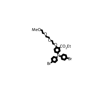 CCOC(=O)c1cc(N(c2ccc(Br)cc2)c2ccc(Br)cc2)ccc1OCCOCCOCCOC